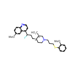 COc1ccc2nccc(C(F)CC[C@@H]3CCN(CCCSc4ccccc4OC)C[C@@H]3C(=O)O)c2c1